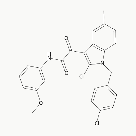 COc1cccc(NC(=O)C(=O)c2c(Cl)n(Cc3ccc(Cl)cc3)c3ccc(C)cc23)c1